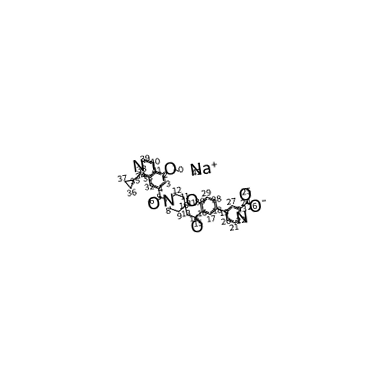 COc1cc(C(=O)N2CCC3(CC2)CC(=O)c2cc(-c4ccnc(C(=O)[O-])c4)ccc2O3)cc2c(C3CC3)nccc12.[Na+]